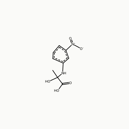 CC(O)(Nc1cccc([N+](=O)[O-])c1)C(=O)O